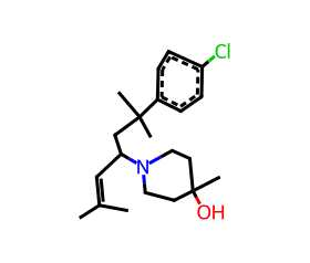 CC(C)=CC(CC(C)(C)c1ccc(Cl)cc1)N1CCC(C)(O)CC1